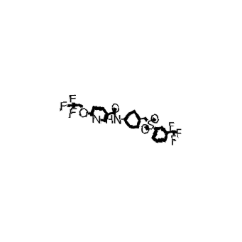 O=C(N[C@H]1CC[C@H](CS(=O)(=O)c2cccc(C(F)(F)F)c2)CC1)c1ccc(OCC(F)(F)F)nc1